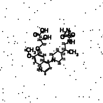 COc1cc2nccc(N3CCC(C(C)CNS(N)(=O)=O)CC3)c2cc1OCCO.O=CO